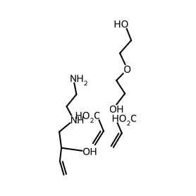 C=CC(=O)O.C=CC(=O)O.C=CC(O)CNCCN.OCCOCCO